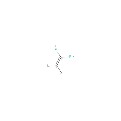 CC(C)=C(F)F